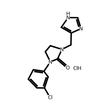 Cl.O=C1N(Cc2c[nH]cn2)CCN1c1cccc(Cl)c1